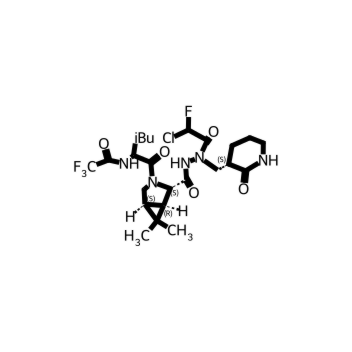 CCC(C)C(NC(=O)C(F)(F)F)C(=O)N1C[C@H]2[C@@H]([C@H]1C(=O)NN(C[C@@H]1CCCNC1=O)C(=O)C(F)Cl)C2(C)C